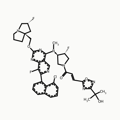 CN(c1nc(OC[C@@]23CCCN2C[C@H](F)C3)nc2c(F)c(-c3cccc4cccc(Cl)c34)ncc12)[C@@H]1CN(C(=O)C=Cc2nc(C(C)(C)O)no2)C[C@H]1F